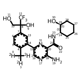 [2H]C([2H])([2H])c1ccc(C(O)(CO)C(F)(F)F)cc1-c1cnc(N)c(C(=O)N[C@H]2CCCC[C@@H]2O)n1